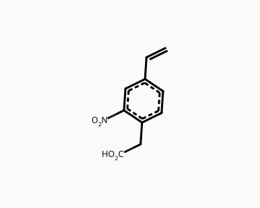 C=Cc1ccc(CC(=O)O)c([N+](=O)[O-])c1